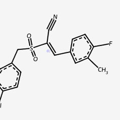 Cc1cc(/C=C(\C#N)S(=O)(=O)Cc2ccc(Cl)cc2)ccc1F